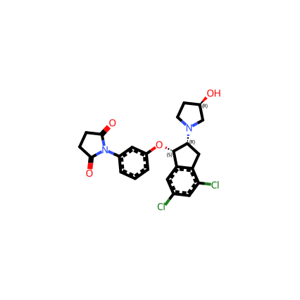 O=C1CCC(=O)N1c1cccc(O[C@H]2c3cc(Cl)cc(Cl)c3C[C@H]2N2CC[C@@H](O)C2)c1